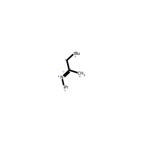 C/C(CC(C)(C)C)=N\C(C)C